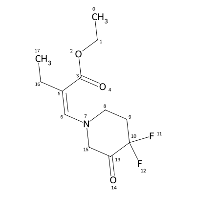 CCOC(=O)C(=CN1CCC(F)(F)C(=O)C1)CC